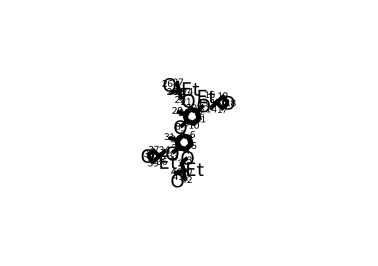 CCC1(COc2ccc(Oc3ccc(OCC4(CC)COC4)c(OCC4(CC)COC4)c3C)c(C)c2OCC2(CC)COC2)COC1